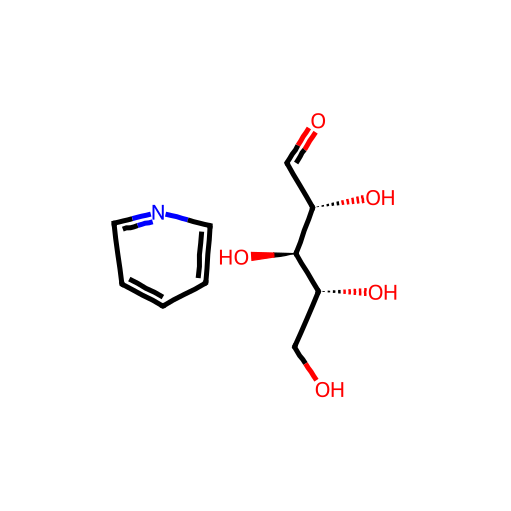 O=C[C@H](O)[C@H](O)[C@H](O)CO.c1ccncc1